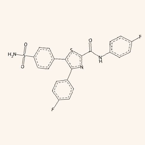 NS(=O)(=O)c1ccc(-c2sc(C(=O)Nc3ccc(F)cc3)nc2-c2ccc(F)cc2)cc1